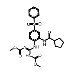 COC(=O)N=C(NC(=O)OC)Nc1ccc(S(=O)(=O)c2ccccc2)cc1NC(=O)C1CCCC1